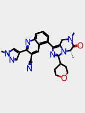 C[C@H]1C(=O)N(C)Cc2c(-c3cccc4nc(-c5cnn(C)c5)c(C#N)cc34)nc(C3CCOCC3)n21